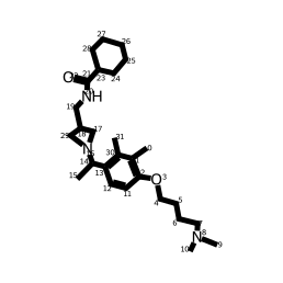 Cc1c(OCCCCN(C)C)ccc(C(C)N2CC(CNC(=O)C3CCCCC3)C2)c1C